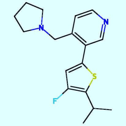 CC(C)c1sc(-c2cnccc2CN2CCCC2)cc1F